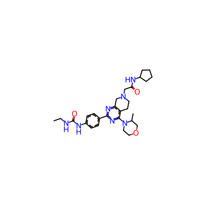 CCNC(=O)Nc1ccc(-c2nc3c(c(N4CCOCC4C)n2)CCN(CC(=O)NC2CCCC2)C3)cc1